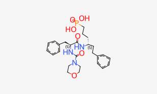 O=C(N[C@H](CCCP(=O)(O)O)CCc1ccccc1)[C@H](Cc1ccccc1)NC(=O)N1CCOCC1